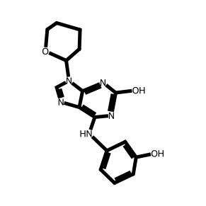 Oc1cccc(Nc2nc(O)nc3c2ncn3C2CCCCO2)c1